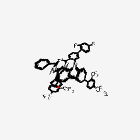 Fc1ccc(-c2ccc(-c3nc(-c4ccccc4)nc(-c4ccccc4)n3)c(-n3c4ccc(-c5ccc(C(F)(F)F)cc5C(F)(F)F)cc4c4cc(-c5ccc(C(F)(F)F)cc5C(F)(F)F)ccc43)c2)c(F)c1